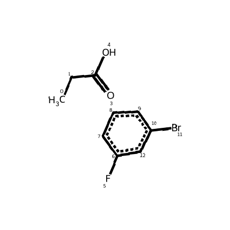 CCC(=O)O.Fc1cccc(Br)c1